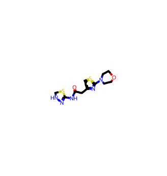 O=C(Cc1csc(N2CCOCC2)n1)NC1=NNCS1